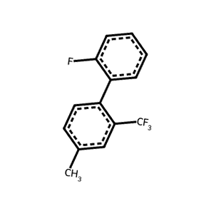 Cc1ccc(-c2ccccc2F)c(C(F)(F)F)c1